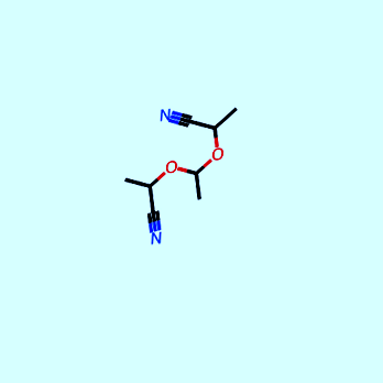 CC(C#N)OC(C)OC(C)C#N